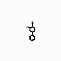 N#Cc1ccc(-c2[c]cccc2)cc1Cl